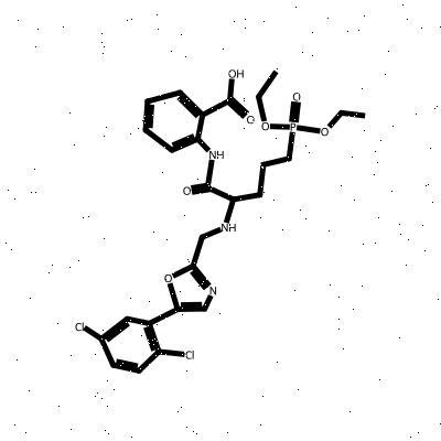 CCOP(=O)(CCCC(NCc1ncc(-c2cc(Cl)ccc2Cl)o1)C(=O)Nc1ccccc1C(=O)O)OCC